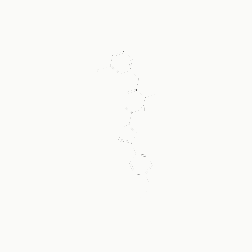 CC(NC(=O)c1nc(-c2ccc(OC(F)(F)F)cc2)no1)C(=O)Cc1cccc(Br)c1